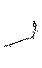 CCCCCCCCCCCCCCCCCCCCCCN(C)CCCNC(=O)/C=C/c1ccc(OC)cc1